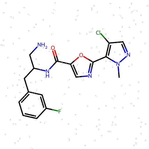 Cn1ncc(Cl)c1-c1ncc(C(=O)NC(CN)Cc2cccc(F)c2)o1